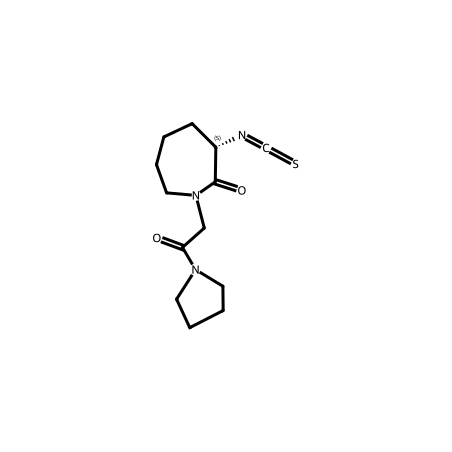 O=C(CN1CCCC[C@H](N=C=S)C1=O)N1CCCC1